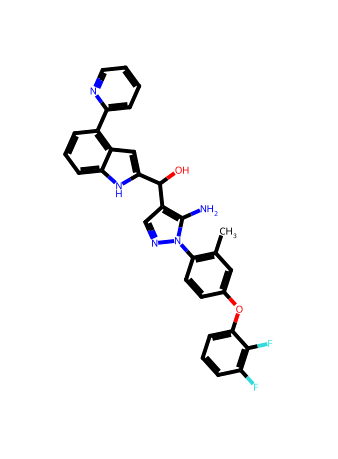 Cc1cc(Oc2cccc(F)c2F)ccc1-n1ncc(C(O)c2cc3c(-c4ccccn4)cccc3[nH]2)c1N